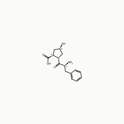 N[C@@H](Cc1ccccc1)C(=O)N1C[C@H](O)C[C@@H]1C(=O)O